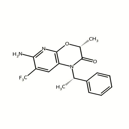 C[C@H]1Oc2nc(N)c(C(F)(F)F)cc2N([C@@H](C)c2ccccc2)C1=O